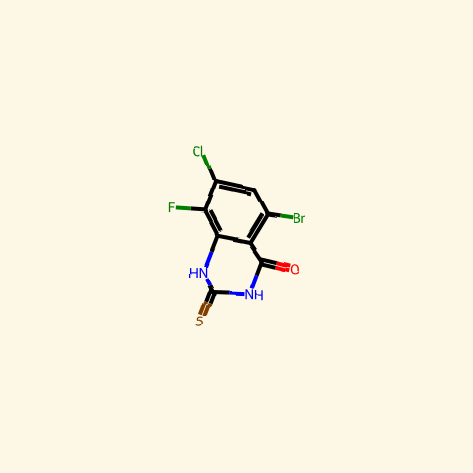 O=c1[nH]c(=S)[nH]c2c(F)c(Cl)cc(Br)c12